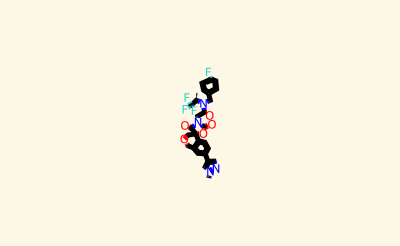 C[C@H](N(Cc1ccc(F)cc1)C(=O)CN1C(=O)OC2(COCc3cc(-c4cnn(C)c4)ccc32)C1=O)C(F)(F)F